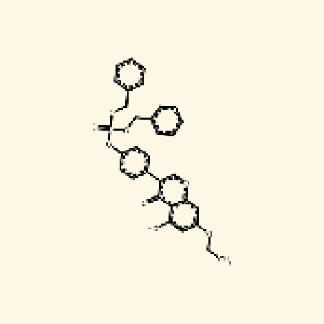 CCOc1cc(O)c2c(=O)c(-c3ccc(OP(=O)(OCc4ccccc4)OCc4ccccc4)cc3)coc2c1